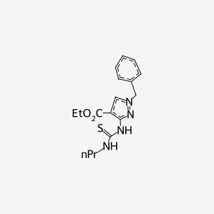 CCCNC(=S)Nc1nn(Cc2ccccc2)cc1C(=O)OCC